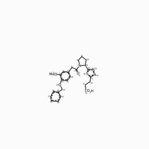 COc1cc(CC(=O)N2CCCC2c2nnc(CCC(=O)O)s2)ccc1OCc1ccccc1